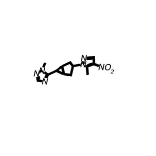 Cc1c([N+](=O)[O-])cnn1C1CC2C(C1)C2c1ncnn1C